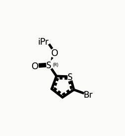 CC(C)O[S@@](=O)c1ccc(Br)s1